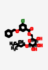 C[Si](C)(C)CCO[C@@H]1O[C@H](COC(=O)c2cc(Cl)cc(OCc3ccccc3)c2)[C@@H](O)[C@H](O)[C@H]1O